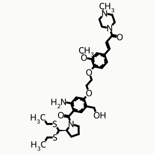 CCSC(SCC)[C@@H]1CCCN1C(=O)c1cc(CO)c(OCCOc2ccc(/C=C/C(=O)N3CCN(C)CC3)cc2OC)cc1N